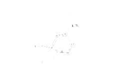 CCCCc1cc(C(=O)OO)ccc1C(=O)O